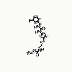 CC(C)(C)OC(=O)NCCSCc1csc(NC(=O)NCc2cccc(F)c2)n1